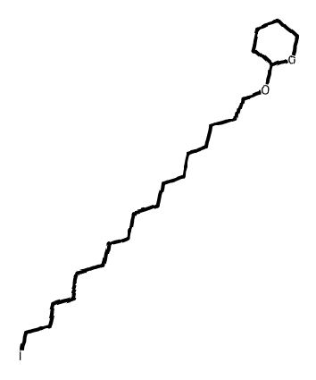 ICCCCCCCCCCCCCCCCCOC1CCCCO1